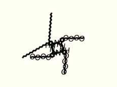 CCCCCCCCCCCCCCCCc1cc2c3nc4nc(nc5[nH]c(nc6nc(nc([nH]3)c2cc1CCCCCCCCCCCCCCCC)-c1cc(OCCOCCOCCOC)ccc1-6)c1cc(OCCOCCOCCOC)ccc51)-c1cc(OCCOCCOCCOC)ccc1-4